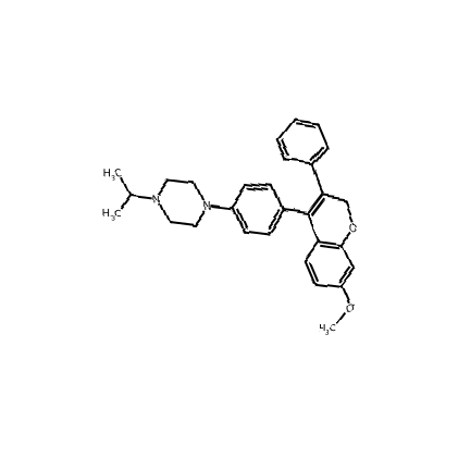 COc1ccc2c(c1)OCC(c1ccccc1)=C2c1ccc(N2CCN(C(C)C)CC2)cc1